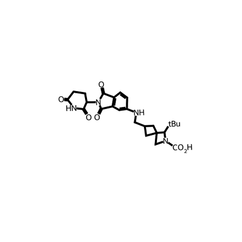 CC(C)(C)C1N(C(=O)O)CC12CC(CNc1ccc3c(c1)C(=O)N(C1CCC(=O)NC1=O)C3=O)C2